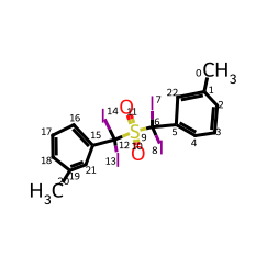 Cc1cccc(C(I)(I)S(=O)(=O)C(I)(I)c2cccc(C)c2)c1